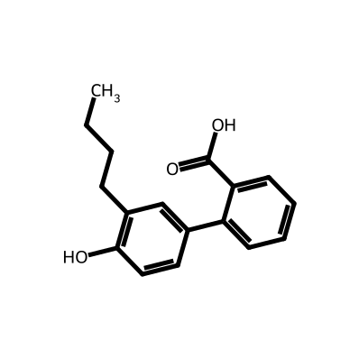 CCCCc1cc(-c2ccccc2C(=O)O)ccc1O